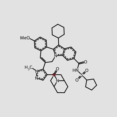 COc1ccc2c(c1)C=C(c1c(C(=O)N3C4CCCC3COC4)cnn1C)Cn1c-2c(C2CCCCC2)c2ccc(C(=O)NS(=O)(=O)C3CCCC3)cc21